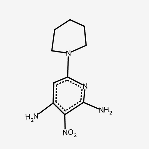 Nc1cc(N2CCCCC2)nc(N)c1[N+](=O)[O-]